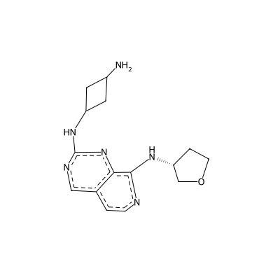 NC1CC(Nc2ncc3ccnc(N[C@@H]4CCOC4)c3n2)C1